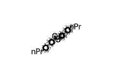 CCCC1CCC([C@H]2CC[C@H](C(=O)Oc3ccc([C@H]4CC[C@H](CCC)CC4)cc3)CC2)CC1